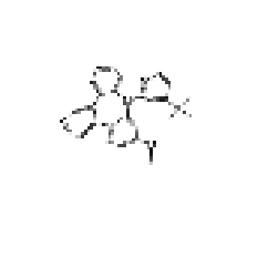 COc1ccc2c(c1)N(c1cc(C(C)(C)C)ccn1)c1ccccc1-c1ccccc1-2